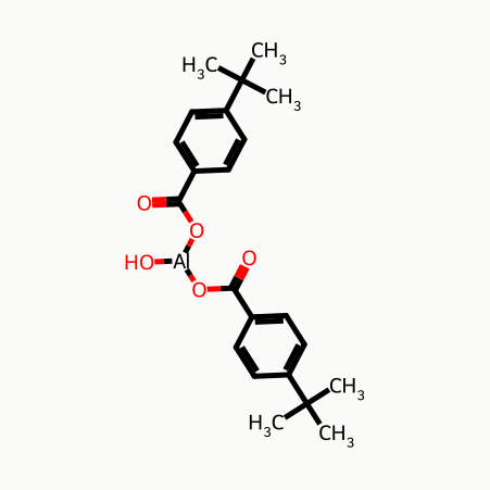 CC(C)(C)c1ccc(C(=O)[O][Al]([OH])[O]C(=O)c2ccc(C(C)(C)C)cc2)cc1